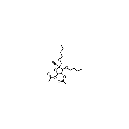 C#C[C@]1(COCCCC)OC(OC(C)=O)[C@@H](OC(C)=O)C1OCCCC